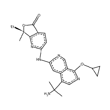 CC[C@@]1(C)OC(=O)c2ccc(Nc3cc4c(C(C)(C)N)cnc(OC5CC5)c4cn3)nc21